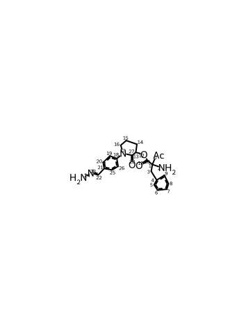 CC(=O)C(N)(Cc1ccccc1)C(=O)OC1CCCN(c2ccc(C=NN)cc2)C1=O